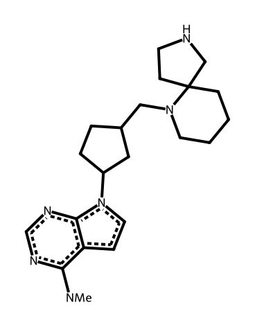 CNc1ncnc2c1ccn2C1CCC(CN2CCCCC23CCNC3)C1